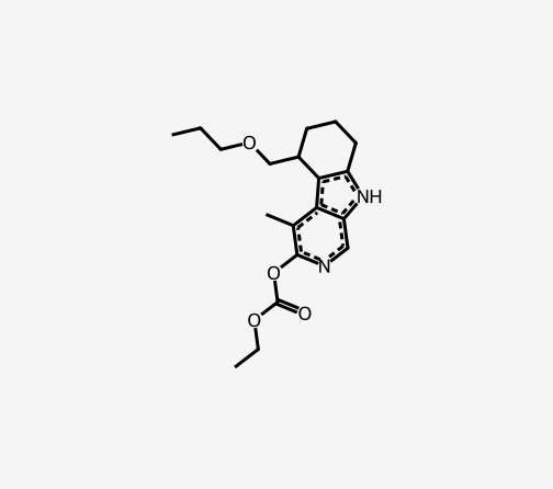 CCCOCC1CCCc2[nH]c3cnc(OC(=O)OCC)c(C)c3c21